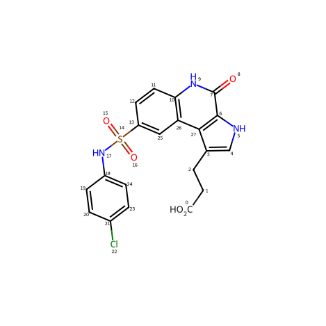 O=C(O)CCc1c[nH]c2c(=O)[nH]c3ccc(S(=O)(=O)Nc4ccc(Cl)cc4)cc3c12